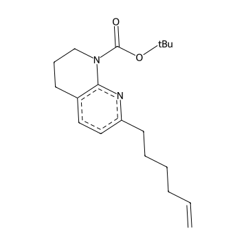 C=CCCCCc1ccc2c(n1)N(C(=O)OC(C)(C)C)CCC2